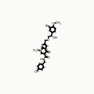 COc1ccc([C@H](O)COCc2cc3c(=O)c(C(=O)NCc4ccc(Cl)cc4)cn(C)c3s2)cc1Br